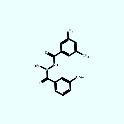 COc1cccc(C(=O)N(NC(=O)c2cc(C)cc(C)c2)C(C)(C)C)c1